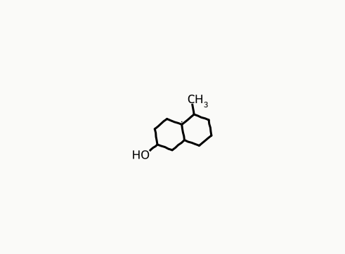 CC1CCCC2CC(O)CC[C]12